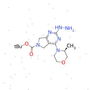 C[C@H]1COCCN1c1nc(NN)nc2c1CN(C(=O)OC(C)(C)C)C2